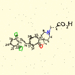 O=C(O)CCN1CCC2(CC1)COc1cc(C=Cc3c(Cl)cccc3Cl)ccc12